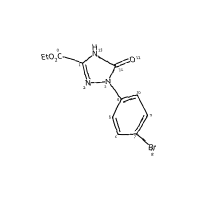 CCOC(=O)c1nn(-c2ccc(Br)cc2)c(=O)[nH]1